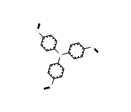 C=Nc1ccc(N(c2ccc(N=C)cc2)c2ccc(N=C)cc2)cc1